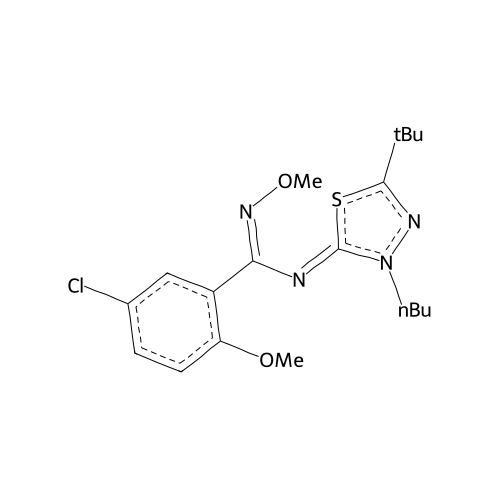 CCCCn1nc(C(C)(C)C)s/c1=N\C(=NOC)c1cc(Cl)ccc1OC